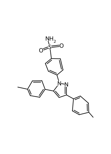 Cc1ccc(-c2cc(-c3ccc(C)cc3)n(-c3ccc(S(N)(=O)=O)cc3)n2)cc1